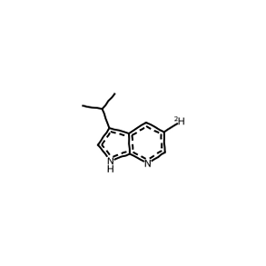 [2H]c1cnc2[nH]cc(C(C)C)c2c1